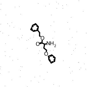 NC(CCOc1ccccc1)C(=O)OCCc1ccccc1